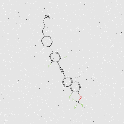 CCCC[C@H]1CC[C@H](c2cc(F)c(C#Cc3ccc4c(F)c(OC(F)(F)F)ccc4c3)c(F)c2)CC1